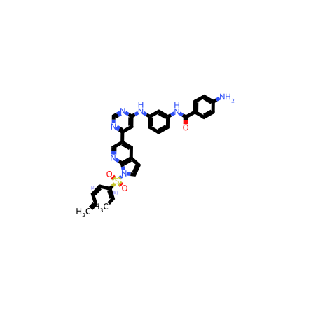 C=C/C=C\C(=C/C)S(=O)(=O)n1ccc2cc(-c3cc(Nc4cccc(NC(=O)c5ccc(N)cc5)c4)ncn3)cnc21